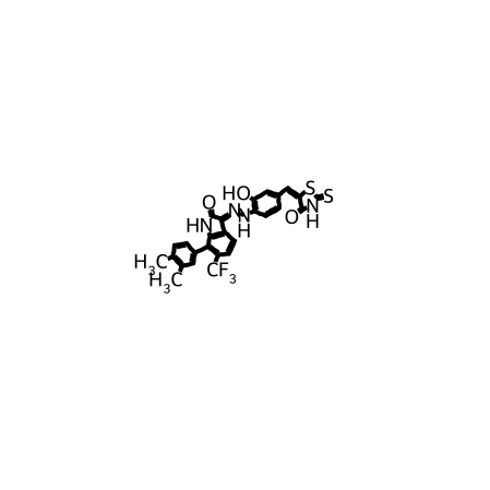 Cc1ccc(-c2c(C(F)(F)F)ccc3c2NC(=O)C3=NNc2ccc(C=C3SC(=S)NC3=O)cc2O)cc1C